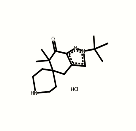 CC(C)(C)n1cc2c(n1)C(=O)C(C)(C)C1(CCNCC1)C2.Cl